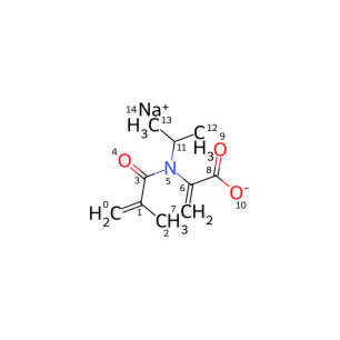 C=C(C)C(=O)N(C(=C)C(=O)[O-])C(C)C.[Na+]